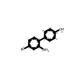 Nc1cc(Br)ccc1-c1ccc(O)cc1